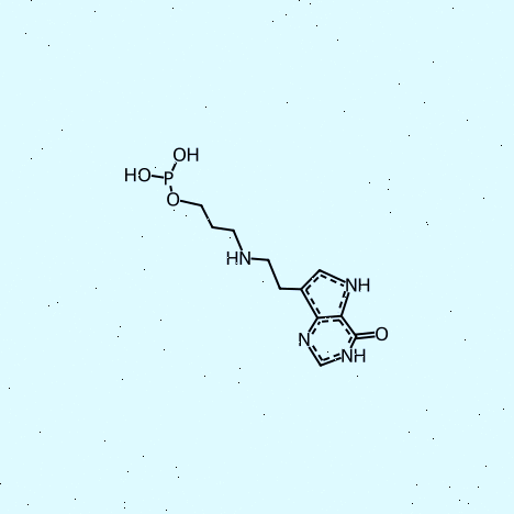 O=c1[nH]cnc2c(CCNCCCOP(O)O)c[nH]c12